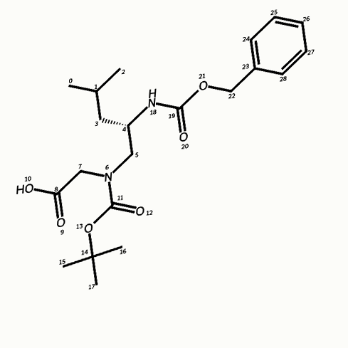 CC(C)C[C@@H](CN(CC(=O)O)C(=O)OC(C)(C)C)NC(=O)OCc1ccccc1